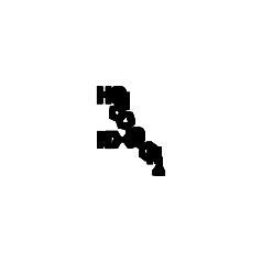 ON=C1CCc2cc(-c3oc(C4CCN(CC5CC5)CC4)cc3-c3ccncc3)ccc21